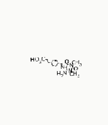 Cn1c(N)c(N=Cc2ccc(C=CC(=O)O)cc2)c(=O)n(C)c1=O